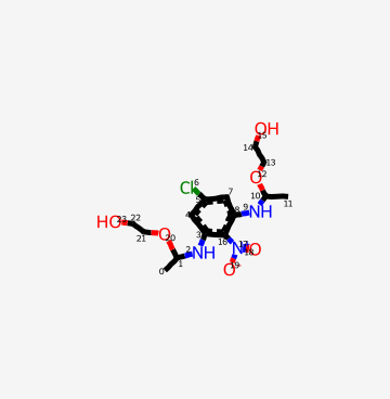 CC(Nc1cc(Cl)cc(NC(C)OCCO)c1[N+](=O)[O-])OCCO